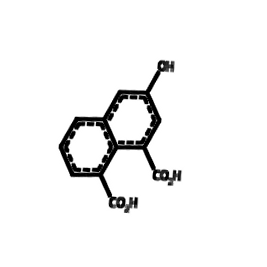 O=C(O)c1cccc2cc(O)cc(C(=O)O)c12